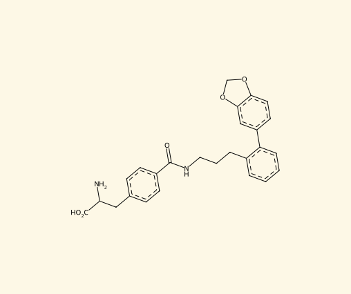 NC(Cc1ccc(C(=O)NCCCc2ccccc2-c2ccc3c(c2)OCO3)cc1)C(=O)O